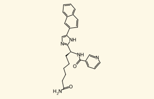 NC(=O)CCCCC[C@H](NC(=O)c1cccnc1)c1ncc(-c2ccc3ccccc3c2)[nH]1